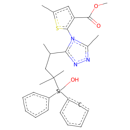 COC(=O)c1cc(C)sc1-n1c(C)nnc1C(C)CC(C)(C)[Si](O)(c1ccccc1)c1ccccc1